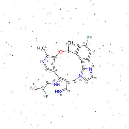 Cc1ncc2cc1OC(C)c1cc(F)ccc1-c1nccn1C/C(C=N)=C\2NCC(C)F